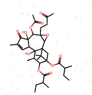 CCC(C)C(=O)OC1C(C)C2(O)C3C=C(C)C(=O)C3(O)C(OC(C)=O)C3(CCC(C)=O)OC3C23CC1(OC(=O)C(C)CC)C3(C)C